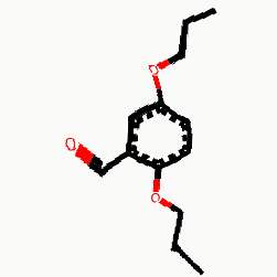 CCCOc1ccc(OCCC)c(C=O)c1